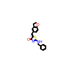 O=C1N=C(NCc2ccccc2)S/C1=C\c1ccc2c(c1)CCO2